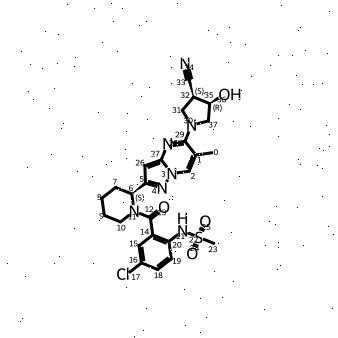 Cc1cn2nc([C@@H]3CCCCN3C(=O)c3cc(Cl)ccc3NS(C)(=O)=O)cc2nc1N1C[C@@H](C#N)[C@@H](O)C1